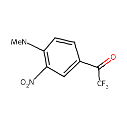 CNc1ccc(C(=O)C(F)(F)F)cc1[N+](=O)[O-]